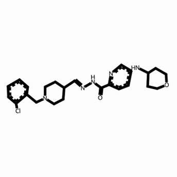 O=C(NN=CC1CCN(Cc2ccccc2Cl)CC1)c1ccc(NC2CCOCC2)cn1